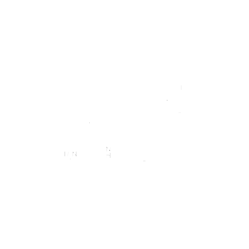 NC(=O)Nc1ccc(C(F)(F)F)cc1F